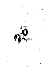 CC(C)Oc1c(Cl)ccc(/C(=N\O)N[C@@H]2C3CCN(CC3)C23CC3)c1F